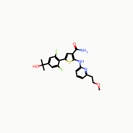 COCCc1cccc(Nc2sc(-c3c(F)cc(C(C)(C)O)cc3F)cc2C(N)=O)n1